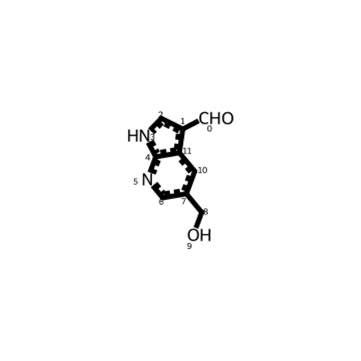 O=Cc1c[nH]c2ncc(CO)cc12